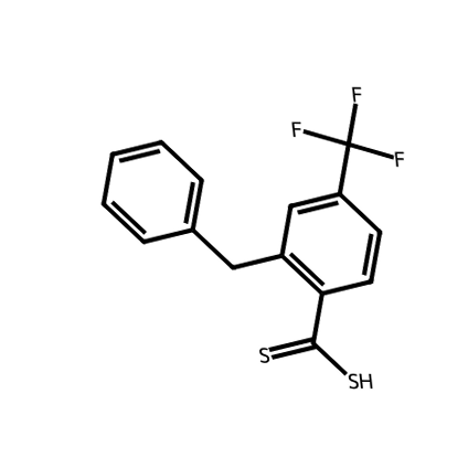 FC(F)(F)c1ccc(C(=S)S)c(Cc2ccccc2)c1